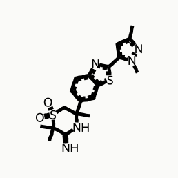 Cc1cc(-c2nc3ccc(C4(C)CS(=O)(=O)C(C)(C)C(=N)N4)cc3s2)n(C)n1